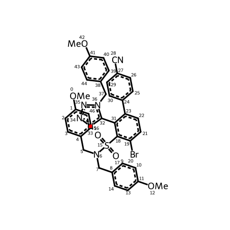 COc1ccc(CN(Cc2ccc(OC)cc2)S(=O)(=O)c2c(Br)ccc(-c3ccc(C#N)cc3)c2-c2nnnn2Cc2ccc(OC)cc2)cc1